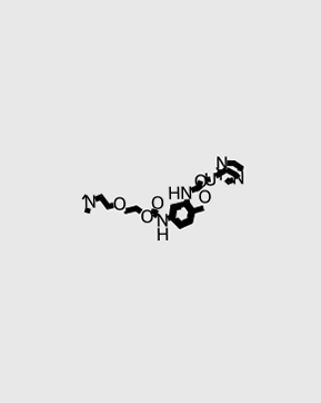 Cc1ccc(NC(=O)OCCOCCN(C)C)cc1NC(=O)[O][U][CH]1CN2CC[N]1[Y][CH2]2